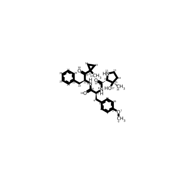 COc1ccc(C[C@H](NC(=O)[C@@H]2NCC[C@@]2(C)O)C(=O)N[C@@H](Cc2ccccc2)C(=O)C2(C)CC2)cc1